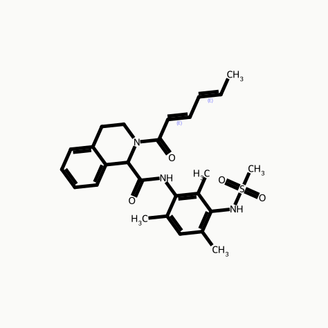 C/C=C/C=C/C(=O)N1CCc2ccccc2C1C(=O)Nc1c(C)cc(C)c(NS(C)(=O)=O)c1C